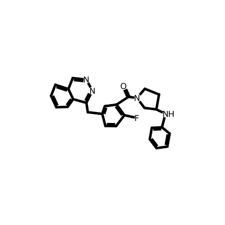 O=C(c1cc(Cc2nncc3ccccc23)ccc1F)N1CCC(Nc2ccccc2)C1